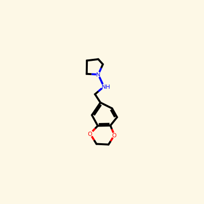 c1cc2c(cc1CNN1CCCC1)OCCO2